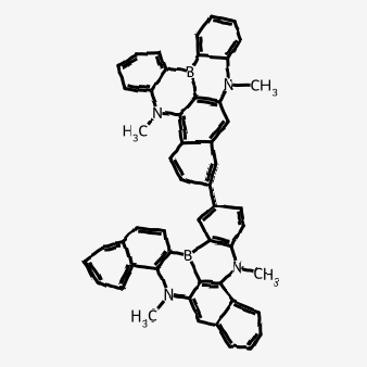 CN1c2ccccc2B2c3ccccc3N(C)c3c2c1cc1cc(-c2ccc4c(c2)B2c5ccc6ccccc6c5N(C)c5cc6ccccc6c(c52)N4C)ccc31